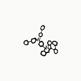 c1ccc(-c2ccc(N(c3ccc(-c4ccccc4)cc3)c3ccc(-c4c5ccccc5cc5c(-c6ccccc6-c6ccccc6)c6ccccc6n45)cc3)cc2)cc1